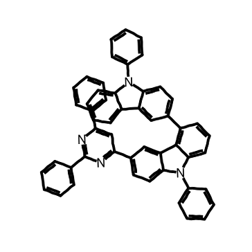 c1ccc(-c2cc(-c3ccc4c(c3)c3c(-c5ccc6c(c5)c5ccccc5n6-c5ccccc5)cccc3n4-c3ccccc3)nc(-c3ccccc3)n2)cc1